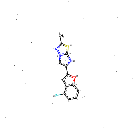 Cc1nn2cc(-c3cc4c(F)cccc4o3)nc2s1